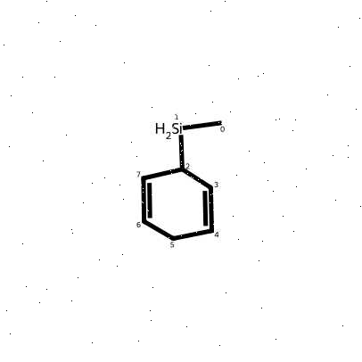 C[SiH2]C1C=CCC=C1